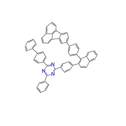 c1ccc(-c2ccc(-c3nc(-c4ccccc4)nc(-c4ccc(-c5ccc6ccccc6c5-c5ccc(-c6ccc7c(c6)-c6cccc8cccc-7c68)cc5)cc4)n3)cc2)cc1